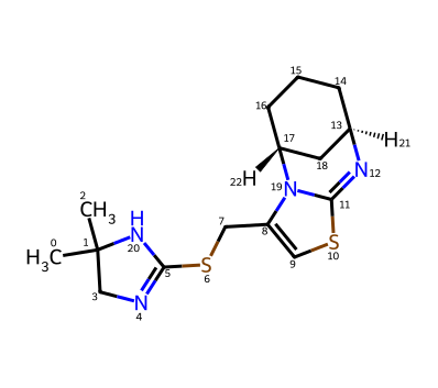 CC1(C)CN=C(SCC2=CSC3=N[C@@H]4CCC[C@H](C4)N23)N1